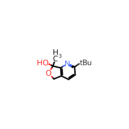 CC(C)(C)c1ccc2c(n1)C(C)(O)OC2